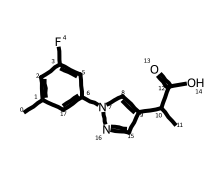 Cc1cc(F)cc(-n2cc(C(C)C(=O)O)cn2)c1